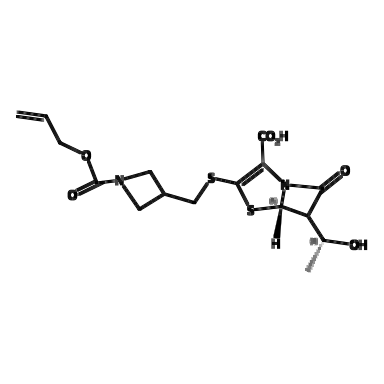 C=CCOC(=O)N1CC(CSC2=C(C(=O)O)N3C(=O)C([C@@H](C)O)[C@@H]3S2)C1